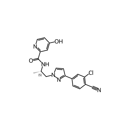 C[C@@H](Cn1ccc(-c2ccc(C#N)c(Cl)c2)n1)NC(=O)c1cc(O)ccn1